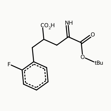 CC(C)(C)OC(=O)C(=N)CC(Cc1ccccc1F)C(=O)O